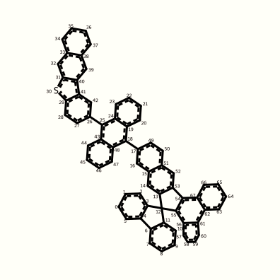 c1ccc2c(c1)-c1ccccc1C21c2cc3cc(-c4c5ccccc5c(-c5ccc6sc7cc8ccccc8cc7c6c5)c5ccccc45)ccc3cc2-c2c1c1ccccc1c1ccccc21